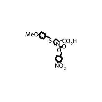 COc1ccc(CS[C@H]2C[C@@H](CC(=O)O)N(C(=O)OCc3ccc([N+](=O)[O-])cc3)C2)cc1